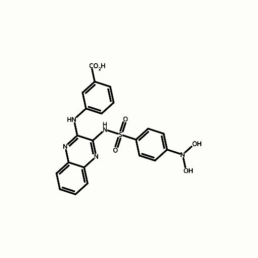 O=C(O)c1cccc(Nc2nc3ccccc3nc2NS(=O)(=O)c2ccc(N(O)O)cc2)c1